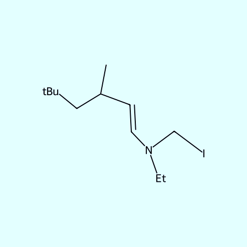 CCN(/C=C/C(C)CC(C)(C)C)CI